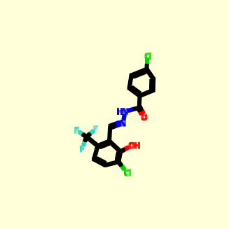 O=C(N/N=C/c1c(C(F)(F)F)ccc(Cl)c1O)c1ccc(Cl)cc1